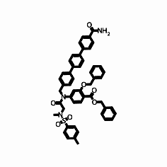 Cc1ccc(S(=O)(=O)N(C)CC(=O)N(Cc2ccc(-c3ccc(-c4ccc(C(N)=O)cc4)cc3)cc2)c2ccc(C(=O)OCc3ccccc3)c(OCc3ccccc3)c2)cc1